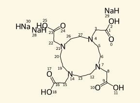 O=C(O)CN1CCN(CC(=O)O)CCN(CC(=O)O)CCN(CC(=O)O)CC1.[NaH].[NaH].[NaH]